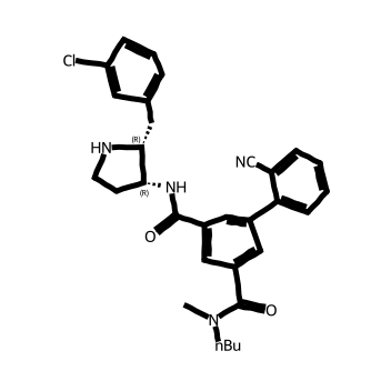 CCCCN(C)C(=O)c1cc(C(=O)N[C@@H]2CCN[C@@H]2Cc2cccc(Cl)c2)cc(-c2ccccc2C#N)c1